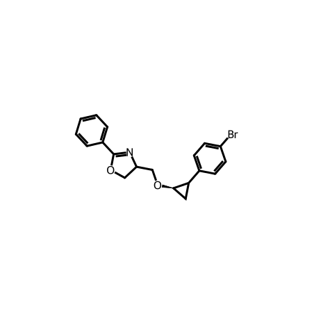 Brc1ccc(C2C[C@H]2OCC2COC(c3ccccc3)=N2)cc1